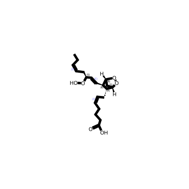 CC/C=C\C[C@@H](/C=C/[C@@H]1[C@@H](C/C=C\CCCC(=O)O)[C@@H]2C[C@H]1OO2)OO